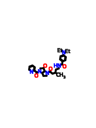 CCN(CC)c1ccc(C(=O)NCCC(C)CC(=O)N2CCC3C2C(=O)CN3C(=O)c2ccccn2)cc1